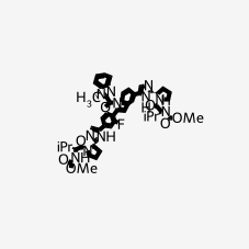 COC(=O)N[C@H](C(=O)N1CCC[C@H]1c1ncc(-c2cc(F)c3c(c2)OC(c2nc4ccccc4n2C)n2c-3cc3cc(-c4cnc([C@@H]5CCCN5C(=O)[C@@H](NC(=O)OC)C(C)C)[nH]4)ccc32)[nH]1)C(C)C